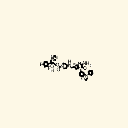 Nc1nc2sc(CNC3CCN(C(=O)OCCC(O)(Cn4cncn4)c4ccc(F)cc4F)CC3)cc2n(-c2ccc3c(c2)N(c2ccccc2)CCO3)c1=O